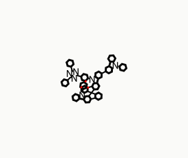 c1ccc(-c2nc(-c3ccccc3)nc(-c3ccc(-n4c5ccc(-c6ccc7c(c6)c6ccccc6n7-c6ccccc6)cc5c5ccc6c(c54)-c4ccccc4C64c5ccccc5-c5ccc6c7ccccc7n(-c7ccccc7)c6c54)cc3)n2)cc1